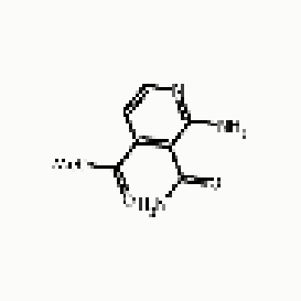 COC(=O)c1ccnc(N)c1C(N)=O